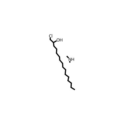 CCCCCCCCCCCCCCC(O)CCl.CNC